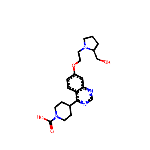 O=C(O)N1CCC(c2ncnc3cc(OCCN4CCCC4CO)ccc23)CC1